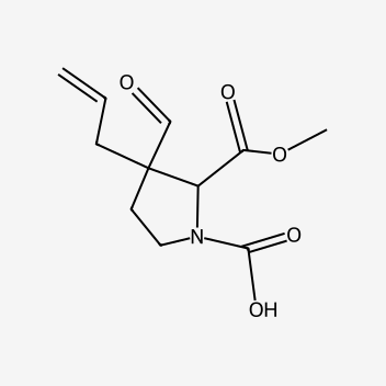 C=CCC1(C=O)CCN(C(=O)O)C1C(=O)OC